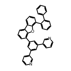 c1ccc(-c2ccccc2-c2cccc3c2oc2c(-c4cc(-c5cccnc5)cc(-c5cccnc5)c4)cccc23)cc1